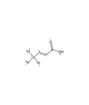 [2H]C([2H])([2H])/C=C/C(=O)O